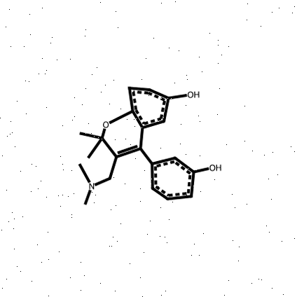 CN(C)CC1=C(c2cccc(O)c2)c2cc(O)ccc2OC1(C)C